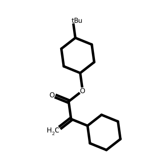 C=C(C(=O)OC1CCC(C(C)(C)C)CC1)C1CCCCC1